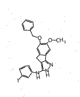 COc1cc2c(cc1OCc1ccccc1)Cc1c-2n[nH]c1Nc1cccc(I)c1